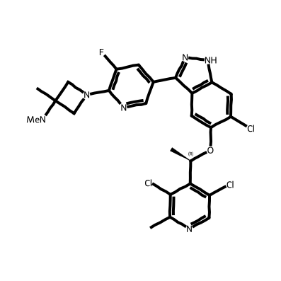 CNC1(C)CN(c2ncc(-c3n[nH]c4cc(Cl)c(O[C@H](C)c5c(Cl)cnc(C)c5Cl)cc34)cc2F)C1